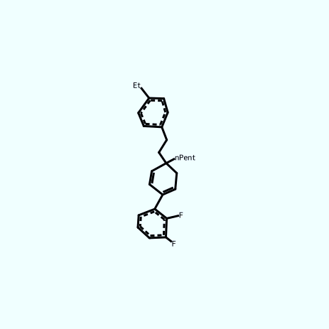 CCCCCC1(CCc2ccc(CC)cc2)C=CC(c2cccc(F)c2F)=CC1